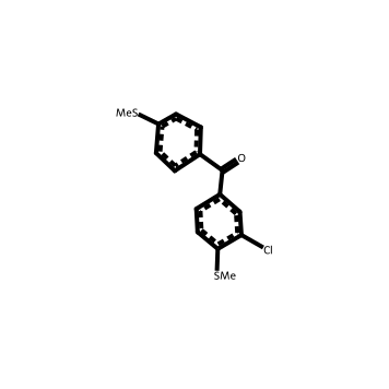 CSc1ccc(C(=O)c2ccc(SC)c(Cl)c2)cc1